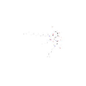 CCCCCCCCCCCCCCCCCCN(C(=O)CCCCCCCCCCC)[C@@H]1O[C@H](CO)[C@@H](O)[C@H](O)[C@@H]1NC(=O)[C@H](CO)NCCCCCC(=O)O